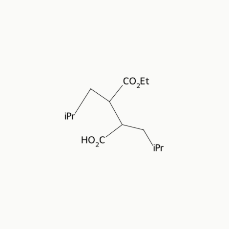 CCOC(=O)C(CC(C)C)C(CC(C)C)C(=O)O